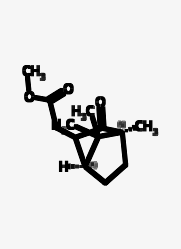 COC(=O)CC1C(=O)[C@@]2(C)CC[C@@H]1C2(C)C